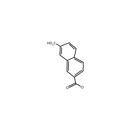 O=C(O)c1ccc2ccc(C(=O)Cl)cc2c1